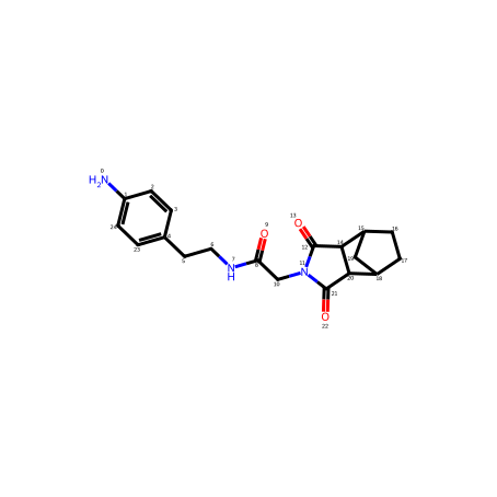 Nc1ccc(CCNC(=O)CN2C(=O)C3C4CCC(C4)C3C2=O)cc1